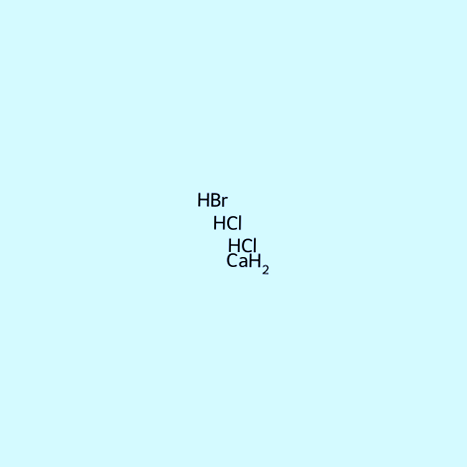 Br.Cl.Cl.[CaH2]